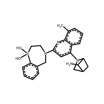 Cc1cccc2c(N3CC4CC3C4N)cc(N3CCS(O)(O)c4ccccc4C3)nc12